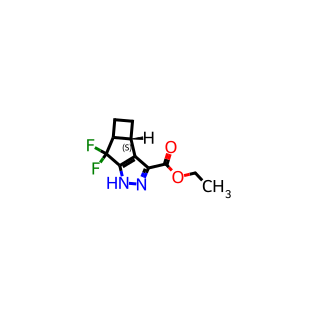 CCOC(=O)c1n[nH]c2c1[C@H]1CCC1C2(F)F